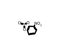 O=S(=O)=O.O=[N+]([O-])c1ccccc1